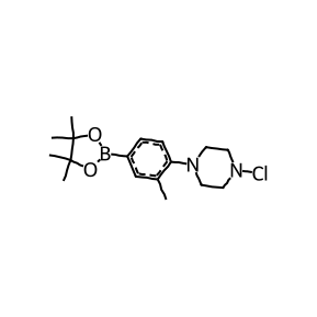 Cc1cc(B2OC(C)(C)C(C)(C)O2)ccc1N1CCN(Cl)CC1